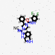 N#C/N=C(/Nc1cccc2c1CCNC2)N1CCN(C(=O)Nc2ccc(F)c(F)c2)C(c2ccccc2)C1